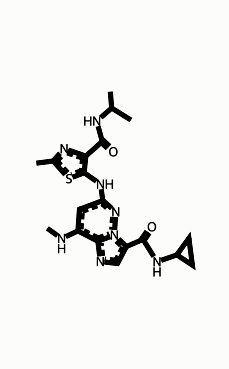 CNc1cc(Nc2sc(C)nc2C(=O)NC(C)C)nn2c(C(=O)NC3CC3)cnc12